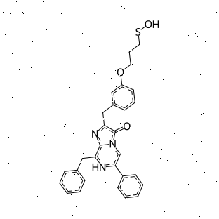 O=c1c(Cc2cccc(OCCCSO)c2)nc2c(Cc3ccccc3)[nH]c(-c3ccccc3)cn1-2